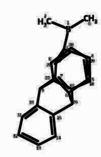 CB(C)c1ccc2c(c1)C1c3ccccc3C2C2C=CC=CC12